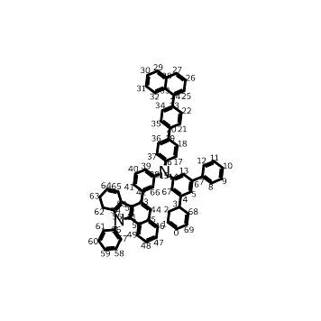 C1=CCC(c2cc(-c3ccccc3)cc(N(c3ccc(-c4ccc(-c5cccc6ccccc56)cc4)cc3)c3cccc(-c4cc5ccccc5c5c4c4c(n5-c5ccccc5)CCC=C4)c3)c2)C=C1